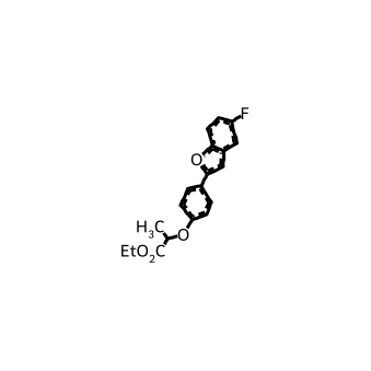 CCOC(=O)C(C)Oc1ccc(-c2cc3cc(F)ccc3o2)cc1